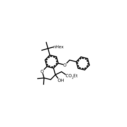 CCCCCCC(C)(C)c1cc(OCc2ccccc2)c2c(c1)OC(C)(C)CC2(O)CC(=O)OCC